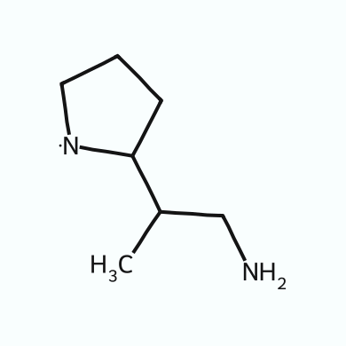 CC(CN)C1CCC[N]1